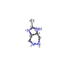 CCc1nc2cnncc2[nH]1